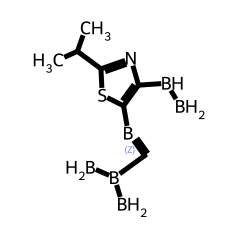 BBc1nc(C(C)C)sc1/B=C\B(B)B